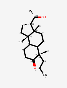 C[C@H](O)[C@H]1CC[C@H]2C3CCC(=O)[C@@](C)(CCC#N)C3CCC12C